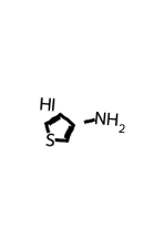 CN.I.c1ccsc1